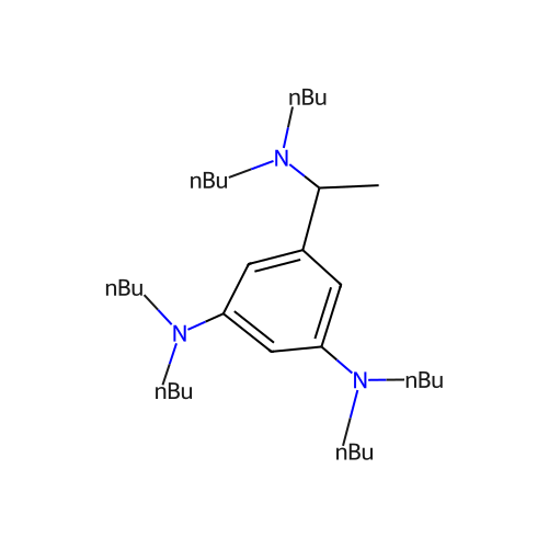 CCCCN(CCCC)c1cc(C(C)N(CCCC)CCCC)cc(N(CCCC)CCCC)c1